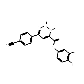 CN1C(C(=O)Nc2ccc(F)c(Cl)c2)=CC(c2ccc(C#N)cc2)=N[S+]1[O-]